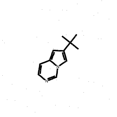 CC(C)(C)c1cc2ccncn2c1